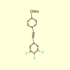 COc1ccc(C#Cc2cc(F)c(F)c(F)c2)cc1